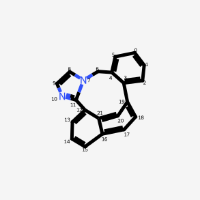 c1ccc2c(c1)Cn1ccnc1-c1cccc3ccc-2cc13